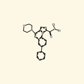 CCN(CC)C(=O)c1ncc2c(N3CCOCC3)nc3cc(-c4ccccc4)ccc3n12